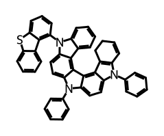 C1=Cc2c(c3c4c5c6c7ccccc7n(-c7cccc8sc9ccccc9c78)c6ccc5n(-c5ccccc5)c4ccc3n2-c2ccccc2)CC1